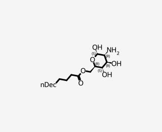 CCCCCCCCCCCCCC(=O)OC[C@H]1O[C@H](O)[C@H](N)[C@@H](O)[C@@H]1O